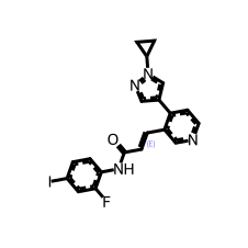 O=C(/C=C/c1cnccc1-c1cnn(C2CC2)c1)Nc1ccc(I)cc1F